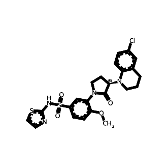 COc1ccc(S(=O)(=O)Nc2nccs2)cc1N1CC[C@@H](N2CCCc3cc(Cl)ccc32)C1=O